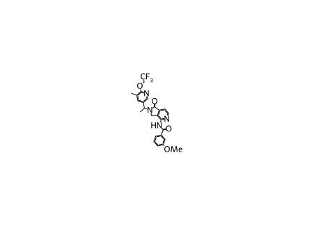 COc1cccc(C(=O)Nc2nccc3c2CN(C(C)c2cnc(OCC(F)(F)F)c(C)c2)C3=O)c1